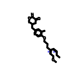 CC/C=C\C(=C/COC)CCCOc1cnc(CC2CC(=O)NOS2)cc1C